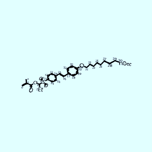 C=C(C)C(=O)OC(CC)S(=O)(=O)c1ccc(C=Cc2ccc(OCCCCCCCCCCCCCCCCCC)cc2)cc1